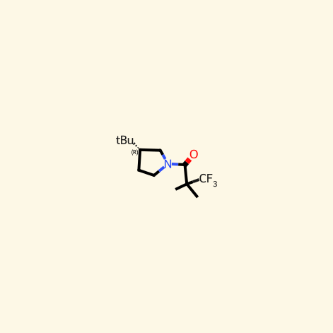 CC(C)(C)[C@H]1CCN(C(=O)C(C)(C)C(F)(F)F)C1